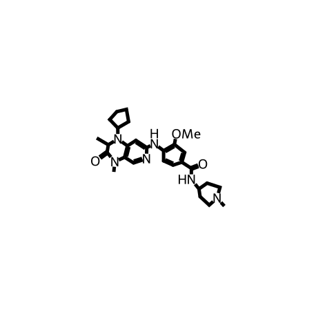 COc1cc(C(=O)NC2CCN(C)CC2)ccc1Nc1cc2c(cn1)N(C)C(=O)C(C)N2C1CCCC1